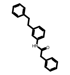 O=C(Cc1ccccc1)Nc1cccc(CCc2ccccc2)c1